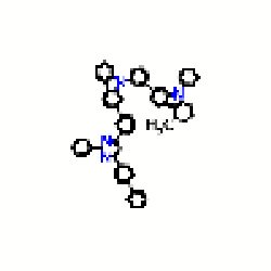 CC1CC=Cc2c1c1ccc(-c3cccc(-n4c5ccccc5c5ccc(-c6cccc(-c7cc(-c8ccc(-c9ccccc9)cc8)nc(-c8ccccc8)n7)c6)cc54)c3)cc1n2-c1ccccc1